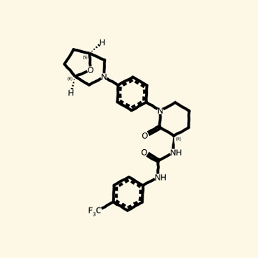 O=C(Nc1ccc(C(F)(F)F)cc1)N[C@@H]1CCCN(c2ccc(N3C[C@H]4CC[C@@H](C3)O4)cc2)C1=O